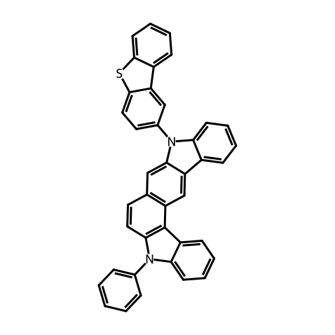 c1ccc(-n2c3ccccc3c3c4cc5c6ccccc6n(-c6ccc7sc8ccccc8c7c6)c5cc4ccc32)cc1